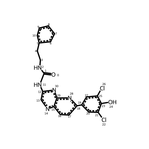 O=C(NCCc1ccccc1)Nc1cnc2ccc(-c3cc(Cl)c(O)c(Cl)c3)nc2n1